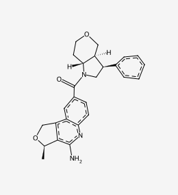 C[C@H]1OCc2c1c(N)nc1ccc(C(=O)N3C[C@H](c4ccccc4)[C@@H]4COCC[C@H]43)cc21